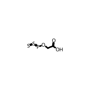 O=C(O)COP=S=S